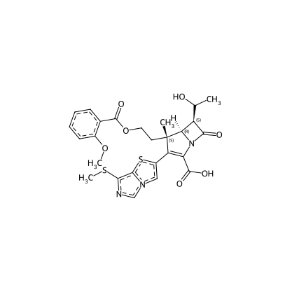 COc1ccccc1C(=O)OCC[C@@]1(C)C(c2cn3cnc(SC)c3s2)=C(C(=O)O)N2C(=O)[C@H](C(C)O)[C@@H]21